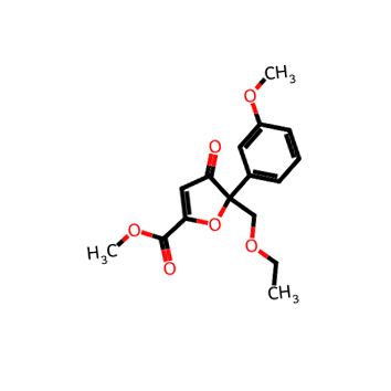 CCOCC1(c2cccc(OC)c2)OC(C(=O)OC)=CC1=O